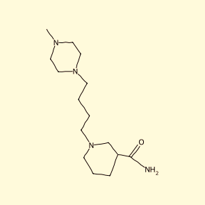 CN1CCN(CCCCN2CCCC(C(N)=O)C2)CC1